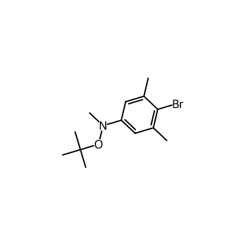 Cc1cc(N(C)OC(C)(C)C)cc(C)c1Br